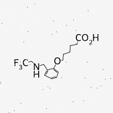 O=C(O)CCCCCOc1ccccc1CNCC(F)(F)F